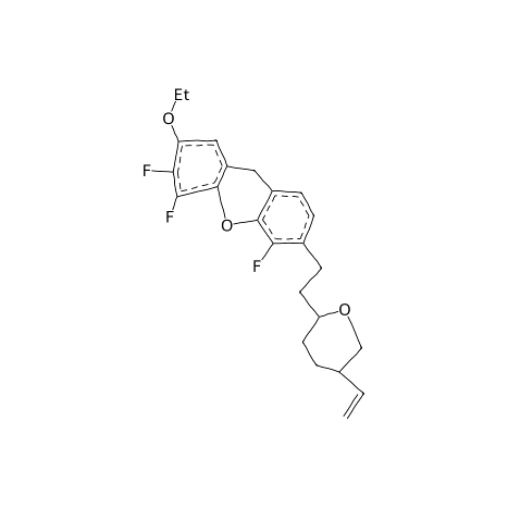 C=CC1CCC(CCc2ccc3c(c2F)Oc2c(cc(OCC)c(F)c2F)C3)OC1